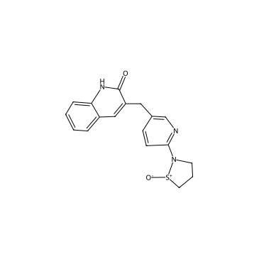 O=c1[nH]c2ccccc2cc1Cc1ccc(N2CCC[S+]2[O-])nc1